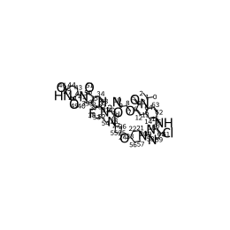 CC(C)n1c(=O)c(OCC(N)=O)cc2cc(Nc3nc(N4CCC(O[C@H]5C[C@H](N6CCN(c7ccc8c(c7F)[C@H](C)N([C@@H]7CCC(=O)NC7=O)C8=O)[C@H](C)C6)C5)CC4)ncc3Cl)ccc21